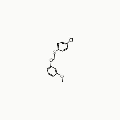 COc1cccc(OCSc2ccc(Cl)cc2)c1